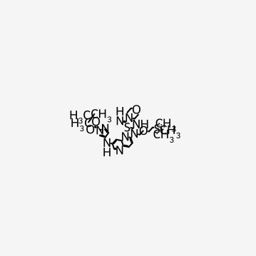 CC(C)(C)OC(=O)n1cc(Nc2cnc3ccc(N(COCC[Si](C)(C)C)C(=N)SC(=N)N4CCOCC4)nc3c2)cn1